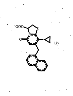 O=C([O-])C1CSc2c(C3CC3)c(Cc3cccc4ccccc34)cc(=O)n21.[Li+]